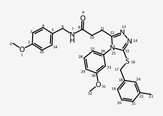 COc1ccc(CNC(=O)CCc2nnc(SCc3cccc(C)c3)n2-c2cccc(OC)c2)cc1